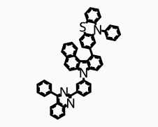 c1ccc(-c2nc(-c3cccc(-n4c5cccc(-c6ccc7c(c6)N(c6ccccc6)c6ccccc6S7)c5c5c6ccccc6ccc54)c3)nc3ccccc23)cc1